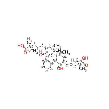 CC1(C)C=C(CCCC(C)(C)C(=O)O)C(O)C(c2ccccc2C2=CC(C)(C)C=C(CCCC(C)(C)C(=O)O)C2O)=C1